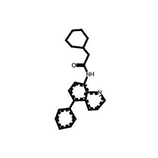 O=C(CC1CCCCC1)Nc1ccc(-c2ccccc2)c2cccnc12